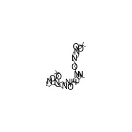 Cc1nn(CCOCCN2CCN(C(=O)OC(C)(C)C)CC2)c2cc(C(=O)Nc3cc4c(cn3)cc([C@H]3CCCN3C)n4C(=O)OC(C)(C)C)ccc12